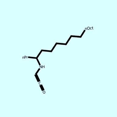 CCCCCCCCCCCCCCC(CCC)NC=C=O